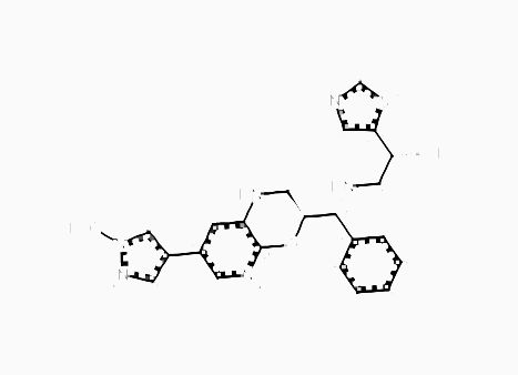 C[C@H](CN[C@H](c1ccccc1)[C@@H]1CNc2cc(-c3cnn(C)c3)cnc2O1)c1cncs1